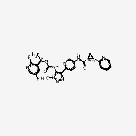 C[C@@H](OC(=O)Nc1c(-c2ccc(NC(=O)[C@@H]3C[C@H]3c3ccccn3)cn2)nnn1C)c1cc(F)cnc1F